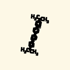 CC(C)c1ccc(-[n+]2ccc(-c3cc[n+](-c4ccc(C(C)C)cc4)cc3)cc2)cc1